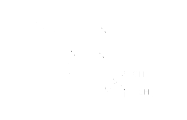 CC(C)NS(=O)(=O)c1ccc(-c2c(C#N)c3ccc(C4CC4)cc3n2C2CC2)nc1